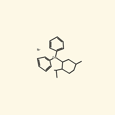 CC1CCC(C(C)C)[CH]([Ge+]([c]2ccccc2)[c]2ccccc2)C1.[Br-]